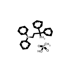 CS(=O)(=O)O.PC(CC[As](c1ccccc1)c1ccccc1)(c1ccccc1)c1ccccc1